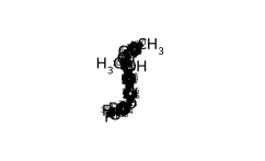 Cc1ccc(S(=O)(=O)O[C@](C)(CO)COc2ccc(N3CCC(Oc4ccc(OC(F)(F)F)cc4)CC3)cc2)cc1